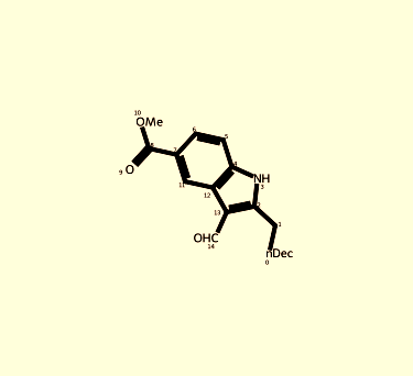 CCCCCCCCCCCc1[nH]c2ccc(C(=O)OC)cc2c1C=O